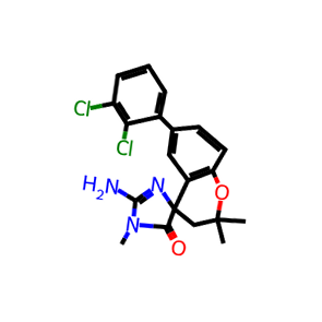 CN1C(=O)C2(CC(C)(C)Oc3ccc(-c4cccc(Cl)c4Cl)cc32)N=C1N